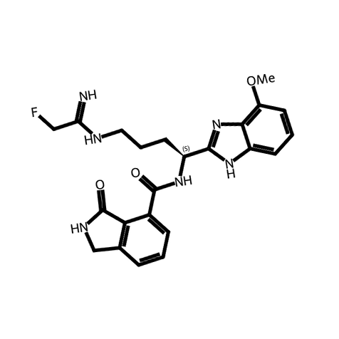 COc1cccc2[nH]c([C@H](CCCNC(=N)CF)NC(=O)c3cccc4c3C(=O)NC4)nc12